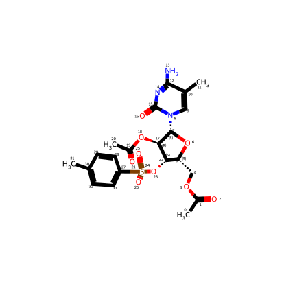 CC(=O)OC[C@H]1O[C@@H](n2cc(C)c(N)nc2=O)[C@H](OC(C)=O)[C@H]1OS(=O)(=O)c1ccc(C)cc1